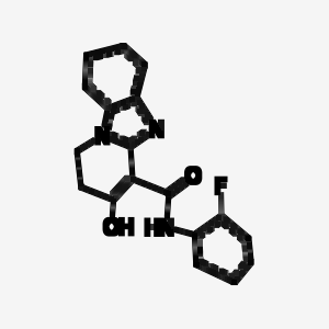 O=C(Nc1ccccc1F)C1=C(O)CCn2c1nc1ccccc12